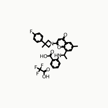 Cc1cc(C(C)Nc2ccccc2C(=O)O)c2oc(N3CC(C)(c4ccc(F)cc4)C3)cc(=O)c2c1.O=C(O)C(F)(F)F